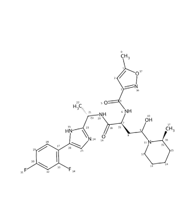 Cc1cc(C(=O)N[C@@H](CC(O)N2CCCC[C@@H]2C)C(=O)N[C@@H](C)c2ncc(-c3ccc(F)cc3F)[nH]2)no1